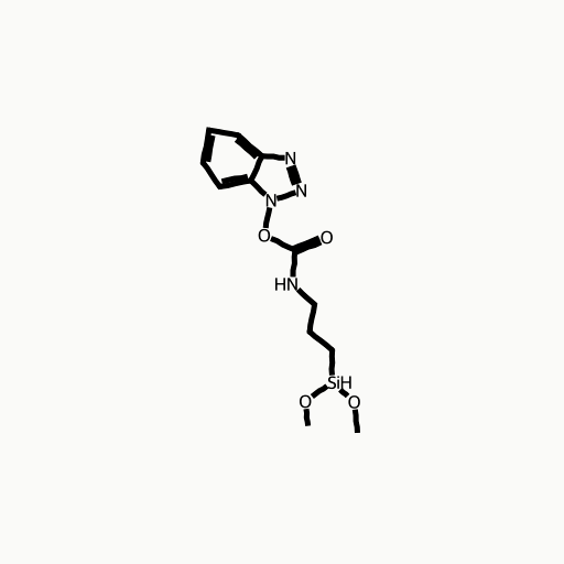 CO[SiH](CCCNC(=O)On1nnc2ccccc21)OC